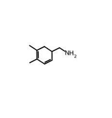 CC1=C(C)CC(CN)C=C1